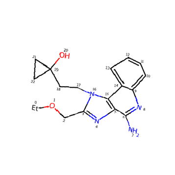 CCOCc1nc2c(N)nc3ccccc3c2n1CCC1(O)CC1